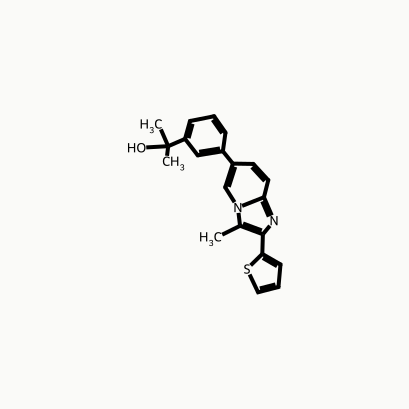 Cc1c(-c2cccs2)nc2ccc(-c3cccc(C(C)(C)O)c3)cn12